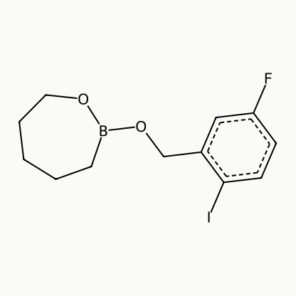 Fc1ccc(I)c(COB2CCCCCO2)c1